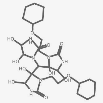 O=C1NC(O)C(O)N1C(C1(O)C(O)NC(=O)N1CCOC1CCCCC1)C1(O)C(O)NC(=O)N1CCOC1CCCCC1